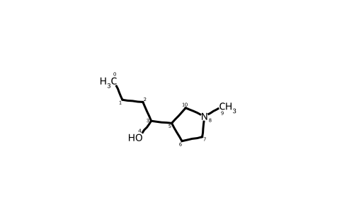 CCCC(O)C1CCN(C)C1